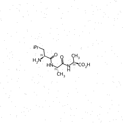 CC(C)C[C@H](N)C(=O)N[C@@H](C)C(=O)N[C@@H](C)C(=O)O